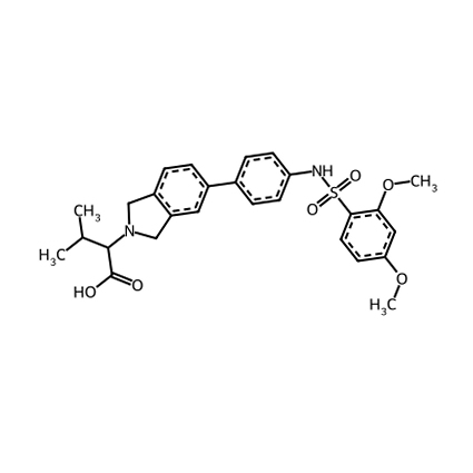 COc1ccc(S(=O)(=O)Nc2ccc(-c3ccc4c(c3)CN(C(C(=O)O)C(C)C)C4)cc2)c(OC)c1